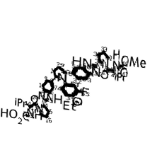 CCOc1ccc(N2[C@@H](c3ccc4nc([C@@H]5CCCN5C(=O)[C@@H](NC(=O)O)C(C)C)[nH]c4c3)CC[C@@H]2c2ccc3nc([C@@H]4CCCN4C(=O)[C@@H](NC(=O)OC)C(C)C)[nH]c3c2)cc1F